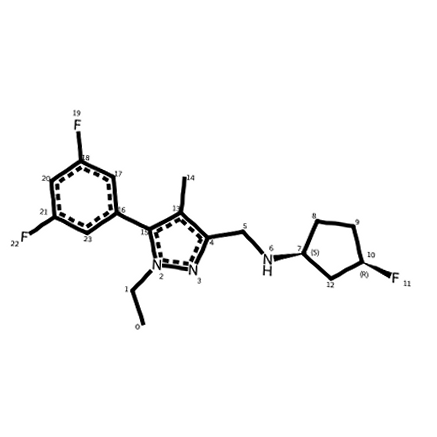 CCn1nc(CN[C@H]2CC[C@@H](F)C2)c(C)c1-c1cc(F)cc(F)c1